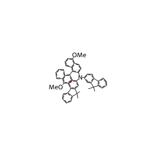 COc1ccc(-c2c(N(c3ccc4c(c3)C(C)(C)c3ccccc3-4)c3ccc4c(c3)C(C)(C)c3ccccc3-4)ccc3c(OC)cccc23)c2ccccc12